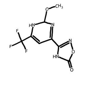 COC1N=C(c2noc(=O)[nH]2)C=C(C(F)(F)F)N1